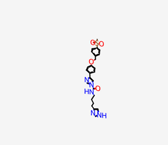 CS(=O)(=O)c1ccc(COc2ccc(-c3cn(C(=O)NCCCCc4c[nH]cn4)cn3)cc2)cc1